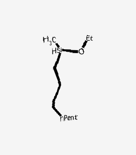 CCCCCCCC[SiH](C)OCC